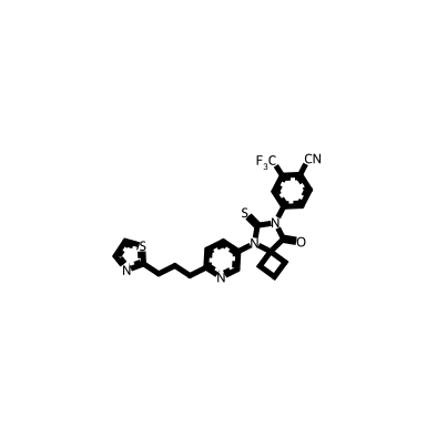 N#Cc1ccc(N2C(=O)C3(CCC3)N(c3ccc(CCCc4nccs4)nc3)C2=S)cc1C(F)(F)F